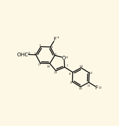 O=Cc1cc(F)c2oc(-c3ccc(F)cc3)cc2c1